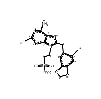 CNS(=O)(=O)CCn1c(Cc2cc3c(cc2I)OCO3)nc2c(N)nc(F)nc21